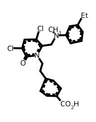 CCc1cccc(N(C)Cc2c(Cl)cc(Cl)c(=O)n2CCc2ccc(C(=O)O)cc2)c1